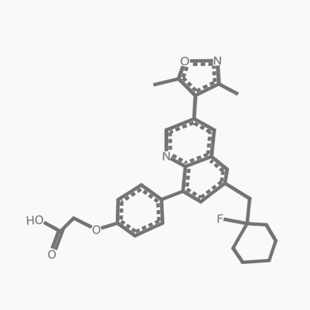 Cc1noc(C)c1-c1cnc2c(-c3ccc(OCC(=O)O)cc3)cc(CC3(F)CCCCC3)cc2c1